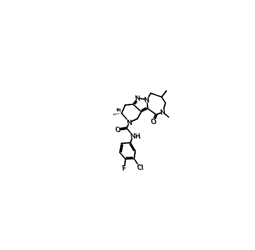 CC1CN(C)C(=O)c2c3c(nn2C1)C[C@@H](C)N(C(=O)Nc1ccc(F)c(Cl)c1)C3